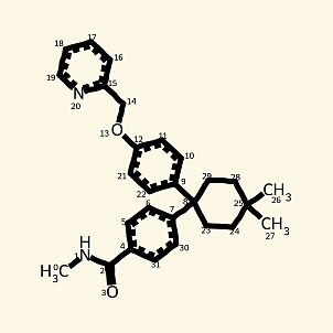 CNC(=O)c1ccc(C2(c3ccc(OCc4ccccn4)cc3)CCC(C)(C)CC2)cc1